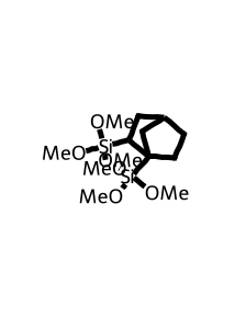 CO[Si](OC)(OC)C1CC2CCC1([Si](OC)(OC)OC)C2